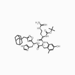 Cc1cc(O)cc(C)c1C[C@H](NC(=O)[C@@H](CCNC(=N)N)NC(=O)OC(C)(C)C)C(=O)N[C@@H](Cc1c[nH]cn1)c1nc(CC23CC4CC(CC(C4)C2)C3)no1